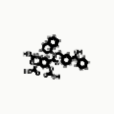 O=C(O)Oc1cc(OC(=O)O)c(C(=O)N(Cc2cccc(C(O)c3ccccc3)c2)[C@H]2CCCc3ccccc32)cc1OC(=O)O